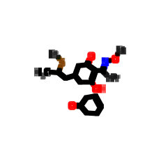 CCCC(=NOCC)C1=C(O)CC(CC(C)SCC)CC1=O.O=C1CC=CCC1